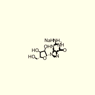 Nc1nc2c(ncn2[C@@H]2O[C@H](CO)[C@@H](O)[C@H]2O)c(=O)[nH]1.[NaH]